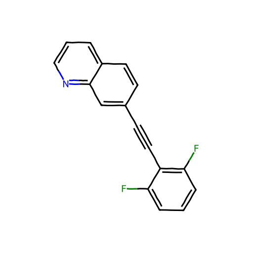 Fc1cccc(F)c1C#Cc1ccc2cccnc2c1